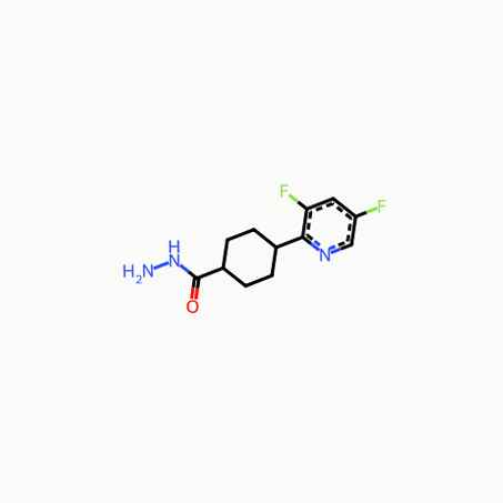 NNC(=O)C1CCC(c2ncc(F)cc2F)CC1